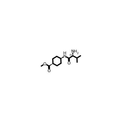 COC(=O)[C@H]1CC[C@@H](NC(=O)[C@@H](N)C(C)C)CC1